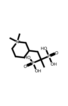 CC(CC1CCC[N+](C)(C)C1)(P(=O)(O)O)P(=O)(O)O